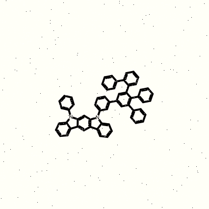 c1ccc(-c2ccccc2-c2cc(-c3cccc(-n4c5ccccc5c5cc6c7ccccc7n(-c7ccccc7)c6cc54)c3)cc(-c3ccccc3)c2-c2ccccc2)cc1